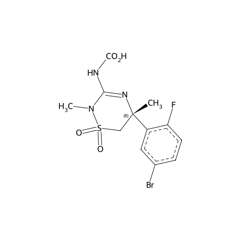 CN1C(NC(=O)O)=N[C@](C)(c2cc(Br)ccc2F)CS1(=O)=O